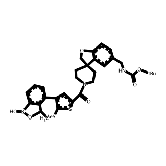 CSc1sc(C(=O)N2CCC3(CC2)COc2ccc(CNC(=O)OC(C)(C)C)cc23)cc1-c1cccc2c1C(C)OB2O